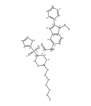 CCCCCCCN1CCN(S(=O)(=O)c2cccs2)[C@H](C(=O)Nc2ccc3c(c2)nc(-c2ccncc2)n3CC)C1